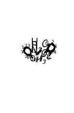 Cc1cccc(C)c1OCCNC1CCCCC1O